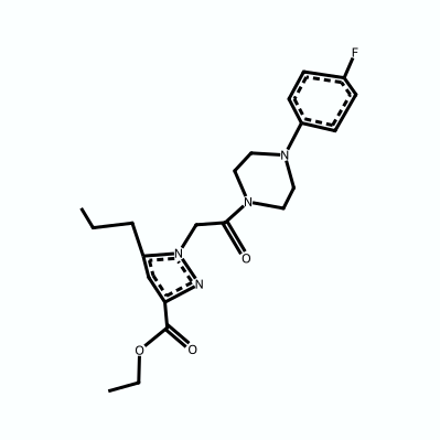 CCCc1cc(C(=O)OCC)nn1CC(=O)N1CCN(c2ccc(F)cc2)CC1